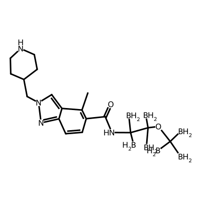 BC(B)(B)OC(B)(B)C(B)(B)NC(=O)c1ccc2nn(CC3CCNCC3)cc2c1C